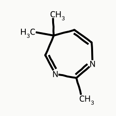 CC1=NC=CC(C)(C)C=N1